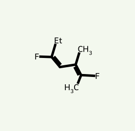 CC/C(F)=C\C(C)=C(/C)F